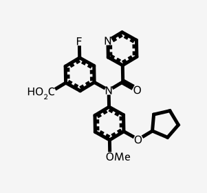 COc1ccc(N(C(=O)c2cccnc2)c2cc(F)cc(C(=O)O)c2)cc1OC1CCCC1